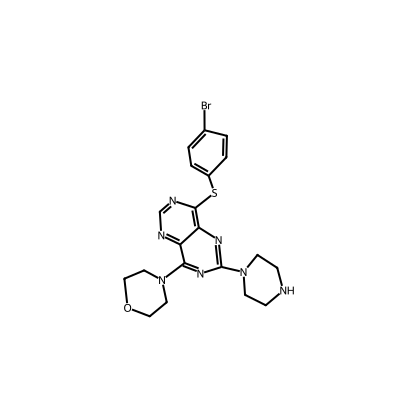 Brc1ccc(Sc2ncnc3c(N4CCOCC4)nc(N4CCNCC4)nc23)cc1